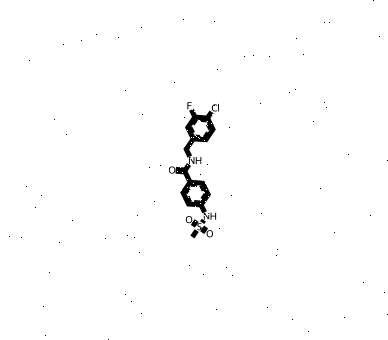 CS(=O)(=O)Nc1ccc(C(=O)NCc2ccc(Cl)c(F)c2)cc1